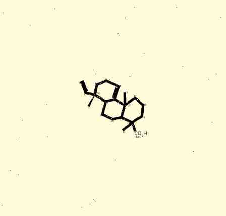 C=C[C@]1(C)CCC=C2C1CCC1C(C)(C(=O)O)CCCC21C